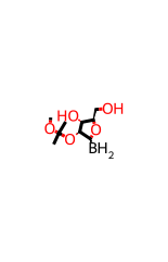 B[C@@H]1O[C@H](CO)[C@@H](O)[C@H]1OC(C)(C)OC